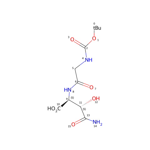 CC(C)(C)OC(=O)NCC(=O)N[C@H](C(=O)O)[C@H](O)C(N)=O